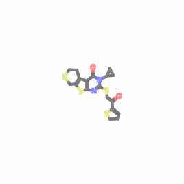 O=C(CSc1nc2sc3c(c2c(=O)n1C1CC1)CCSC3)c1cccs1